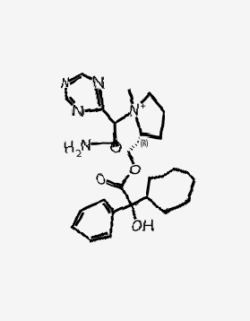 C[N+]1(C(C(N)=O)c2ncncn2)CCC[C@@H]1COC(=O)C(O)(c1ccccc1)C1CCCCC1